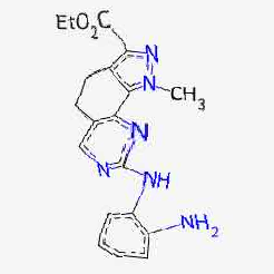 CCOC(=O)c1nn(C)c2c1CCc1cnc(Nc3ccccc3N)nc1-2